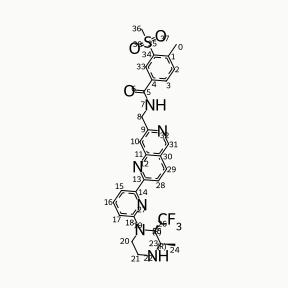 Cc1ccc(C(=O)NCc2cc3nc(-c4cccc(N5CCN[C@H](C)[C@@H]5C(F)(F)F)n4)ccc3cn2)cc1S(C)(=O)=O